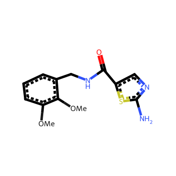 COc1cccc(CNC(=O)c2cnc(N)s2)c1OC